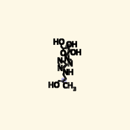 C/C(=C/CNc1ncnc2c1ncn2[C@@H]1OC(CO)[C@@H](O)[C@H]1O)CO